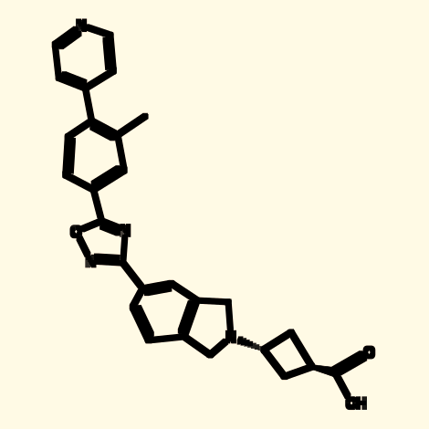 Cc1cc(-c2nc(-c3ccc4c(c3)CN([C@H]3C[C@H](C(=O)O)C3)C4)no2)ccc1-c1ccncc1